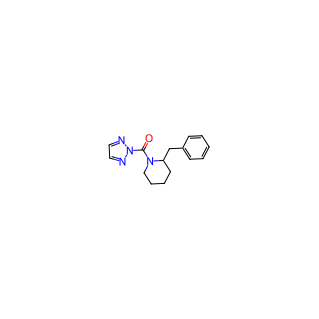 O=C(N1CCCCC1Cc1ccccc1)n1nccn1